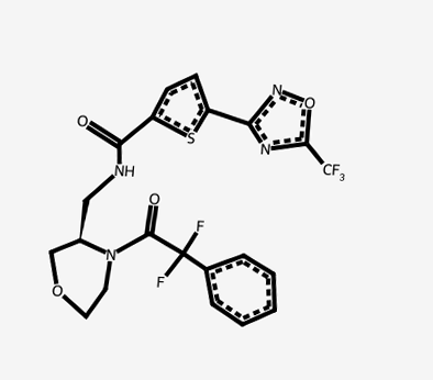 O=C(NC[C@@H]1COCCN1C(=O)C(F)(F)c1ccccc1)c1ccc(-c2noc(C(F)(F)F)n2)s1